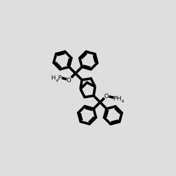 [PH4]OC(c1ccccc1)(c1ccccc1)C1CC2CC1CC2C(O[PH4])(c1ccccc1)c1ccccc1